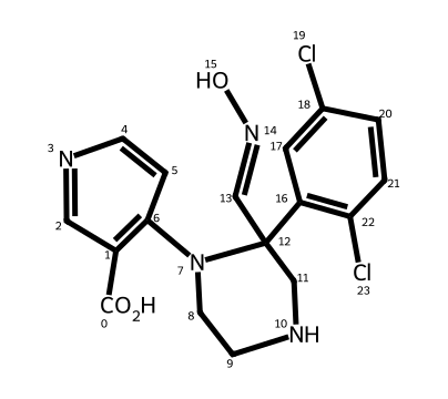 O=C(O)c1cnccc1N1CCNCC1(C=NO)c1cc(Cl)ccc1Cl